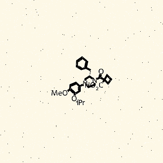 COc1ccc(N2CCN(C(=O)C3(C(=O)O)CCC3)[C@@H](Cc3ccccc3)C2)cc1OC(C)C